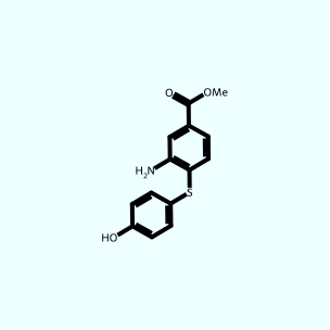 COC(=O)c1ccc(Sc2ccc(O)cc2)c(N)c1